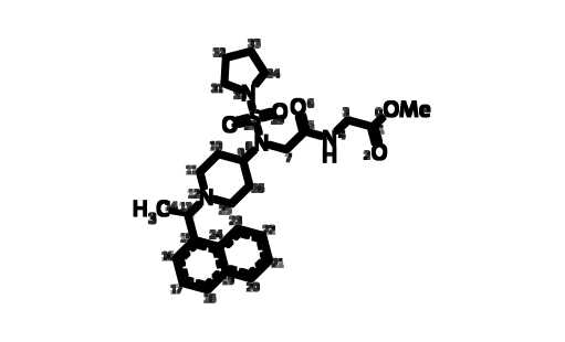 COC(=O)CNC(=O)CN(C1CCN([C@H](C)c2cccc3ccccc23)CC1)S(=O)(=O)N1CCCC1